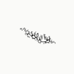 CCCC1CCC(c2ccc(C(=O)OC3CCC(c4ccc(CC)c(F)c4F)CC3)c(F)c2F)CC1